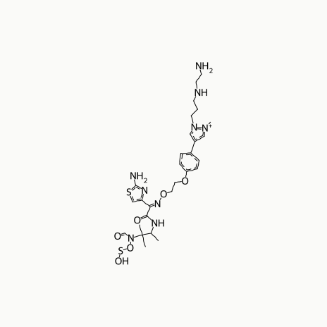 CC(NC(=O)/C(=N/OCCOc1ccc(-c2cn(CCCNCCN)[n+](C)c2)cc1)c1csc(N)n1)C(C)(C)N(C=O)OSO